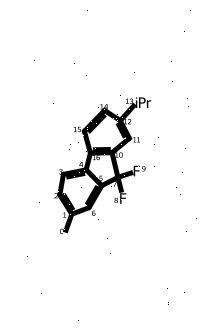 Cc1ccc2c(c1)C(F)(F)c1cc(C(C)C)ccc1-2